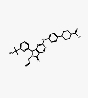 C=CCn1c(=O)c2cnc(Nc3ccc(N4CCN(C(=O)O)CC4)cc3)nc2n1-c1cccc(C(C)(C)O)n1